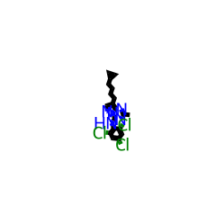 Cc1nc(Nc2c(Cl)cc(Cl)cc2Cl)n2ncc(CCCCC3CC3)c2n1